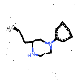 C=CCC1CN(c2[c]cccc2)CCN1